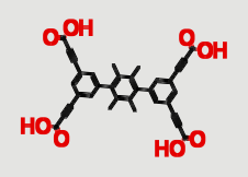 Cc1c(C)c(-c2cc(C#CC(=O)O)cc(C#CC(=O)O)c2)c(C)c(C)c1-c1cc(C#CC(=O)O)cc(C#CC(=O)O)c1